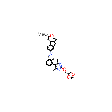 COC(=O)CC1c2ccc(NCc3cccc(-c4c(C)nc(OC[C@@H]5COC(C)(C)O5)nc4C)c3C)cc2CC12CC2